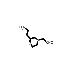 NCCC1CN(CC=O)CCO1